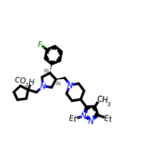 CCc1nn(CC)c(C2CCN(C[C@H]3CN(CC4(C(=O)O)CCCC4)C[C@@H]3c3cccc(F)c3)CC2)c1C